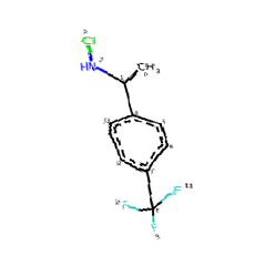 CC(NCl)c1ccc(C(F)(F)F)cc1